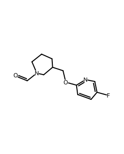 O=CN1CCCC(COc2ccc(F)cn2)C1